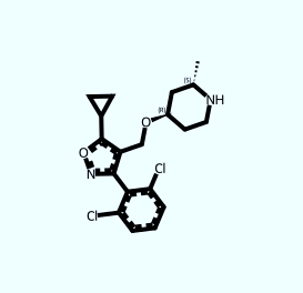 C[C@H]1C[C@H](OCc2c(-c3c(Cl)cccc3Cl)noc2C2CC2)CCN1